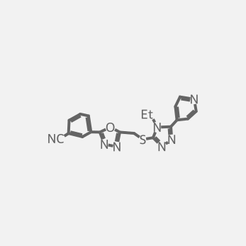 CCn1c(SCc2nnc(-c3cccc(C#N)c3)o2)nnc1-c1ccncc1